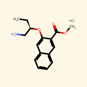 CC[C@H](CN)Oc1cc2ccccc2cc1C(=O)OC.Cl